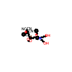 N#CC(C#N)=C1OC(c2ccccc2)(C(F)(F)F)C(/C=C/c2sc(/C=C/c3ccc(N(CCCCO)CCCCO)cc3OCc3ccccc3)c3c2OCCO3)=C1C#N